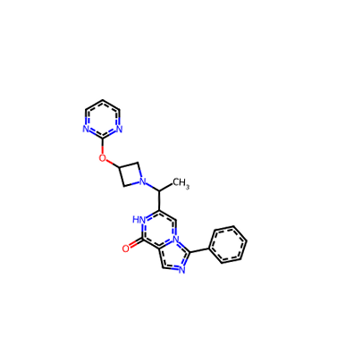 CC(c1cn2c(-c3ccccc3)ncc2c(=O)[nH]1)N1CC(Oc2ncccn2)C1